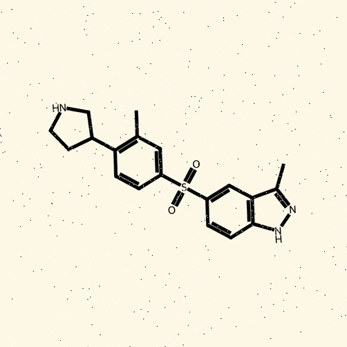 Cc1cc(S(=O)(=O)c2ccc3[nH]nc(C)c3c2)ccc1C1CCNC1